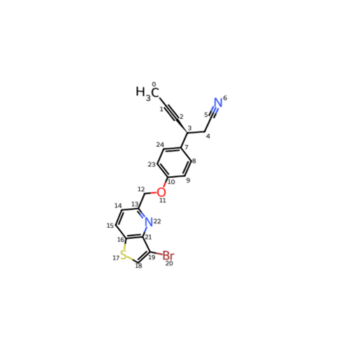 CC#C[C@@H](CC#N)c1ccc(OCc2ccc3scc(Br)c3n2)cc1